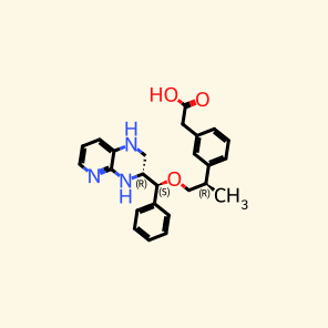 C[C@@H](CO[C@@H](c1ccccc1)[C@H]1CNc2cccnc2N1)c1cccc(CC(=O)O)c1